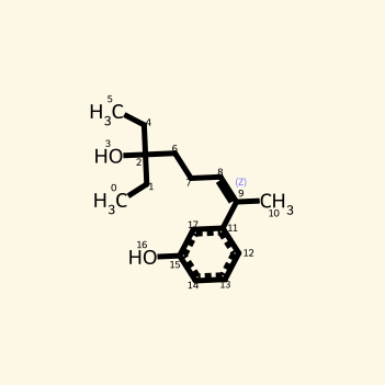 CCC(O)(CC)CC/C=C(/C)c1cccc(O)c1